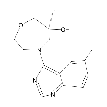 Cc1ccc2ncnc(N3CCOC[C@@](C)(O)C3)c2c1